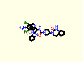 C[N@@+]1(c2cccnc2)C(C(Cc2cc(Br)c(N)c(Br)c2)NC(=O)N2CCC(N3CCc4ccccc4NC3=O)CC2)=Nc2ccccc21